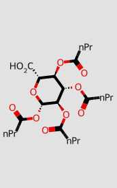 CCCC(=O)O[C@@H]1O[C@H](C(=O)O)[C@@H](OC(=O)CCC)[C@H](OC(=O)CCC)[C@H]1OC(=O)CCC